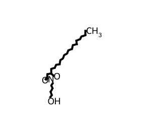 CCCCCCCCCCCCCCCCCCC1CC(=O)N(CCCCCCO)C1=O